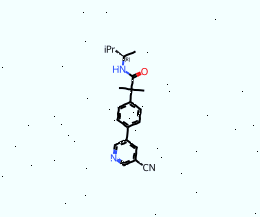 CC(C)[C@@H](C)NC(=O)C(C)(C)c1ccc(-c2cncc(C#N)c2)cc1